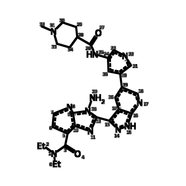 CCN(CC)C(=O)c1ccnc2c1nc(-c1n[nH]c3ncc(-c4cncc(NC(=O)C5CCN(C)CC5)c4)cc13)n2N